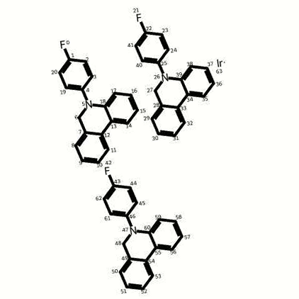 Fc1ccc(N2Cc3ccccc3-c3ccccc32)cc1.Fc1ccc(N2Cc3ccccc3-c3ccccc32)cc1.Fc1ccc(N2Cc3ccccc3-c3ccccc32)cc1.[Ir]